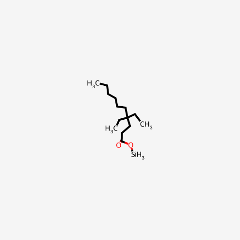 CCCCCCC(CC)(CC)CCC(=O)O[SiH3]